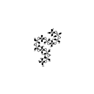 C[Si](C)(C)O[Si](C)(C)O[Si](C)(C)O[Si](C)(C)O[Si](C)(C)O[Si](C)(C)O[Si](C)(C)O[Si](C)(C)O[Si](C)(C)O[Si](C)(C)O[Si](C)(C)O[Si](C)(C)C